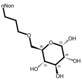 CCCCCCCCCCCCOC[C@H]1O[C@H](O)[C@H](O)[C@@H](O)[C@@H]1O